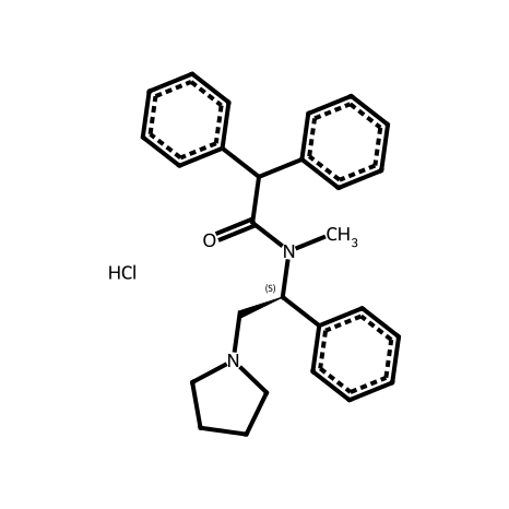 CN(C(=O)C(c1ccccc1)c1ccccc1)[C@H](CN1CCCC1)c1ccccc1.Cl